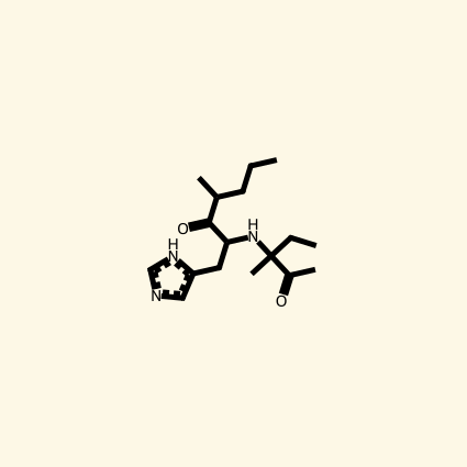 CCCC(C)C(=O)C(Cc1cnc[nH]1)NC(C)(CC)C(C)=O